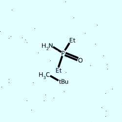 CC(C)(C)C.CCP(N)(=O)CC